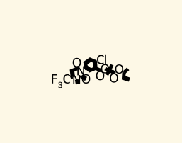 C=CC(C)OC(=O)C(C)(C)OC(=O)c1cc(-n2c(=O)cc(C(F)(F)F)n(C)c2=O)ccc1Cl